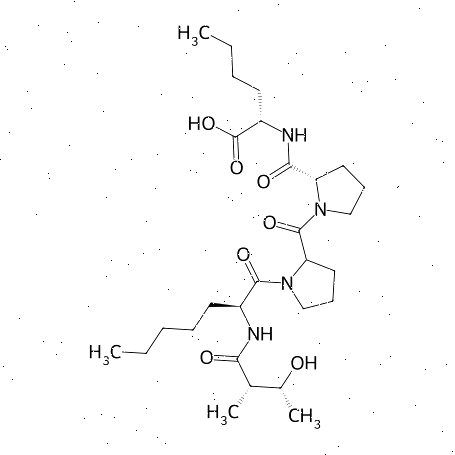 CCCCC[C@H](NC(=O)[C@@H](C)[C@@H](C)O)C(=O)N1CCCC1C(=O)N1CCC[C@H]1C(=O)N[C@@H](CCCC)C(=O)O